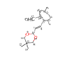 Cc1cc(C)c(/C=C/C2OCC(C)(C)CO2)c(C=O)c1